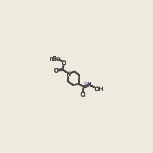 CCCCOC(=O)N1CCC(/C(Cl)=N/O)CC1